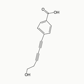 O=C(O)c1ccc(C#CC#CCCO)cc1